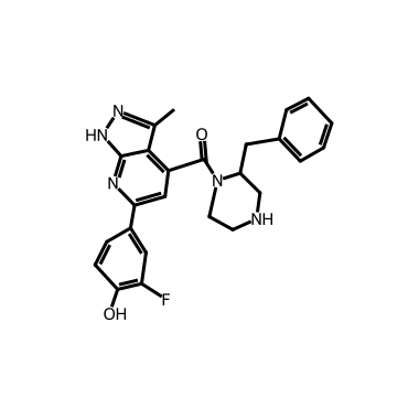 Cc1n[nH]c2nc(-c3ccc(O)c(F)c3)cc(C(=O)N3CCNCC3Cc3ccccc3)c12